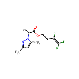 CC(C)C(C(=O)OCCC(F)=C(F)F)n1nc(C(F)(F)F)cc1C(F)(F)F